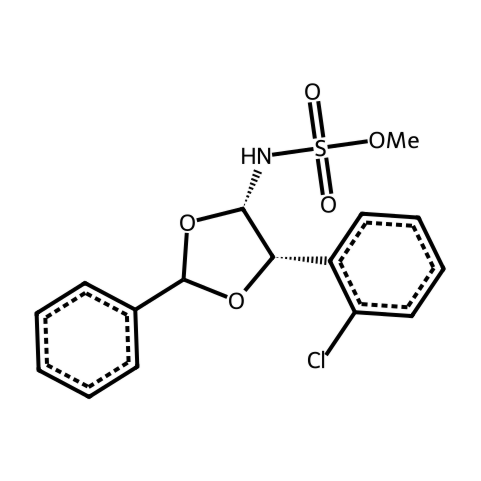 COS(=O)(=O)N[C@H]1OC(c2ccccc2)O[C@H]1c1ccccc1Cl